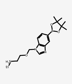 CC[SiH2]CCOCn1cnc2cc(B3OC(C)(C)C(C)(C)O3)ccc21